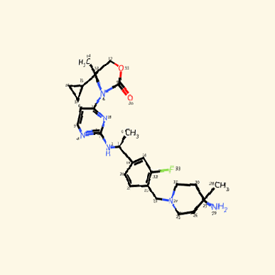 C[C@H](Nc1nccc(N2C(=O)OCC2(C)C2CC2)n1)c1ccc(CN2CCC(C)(N)CC2)c(F)c1